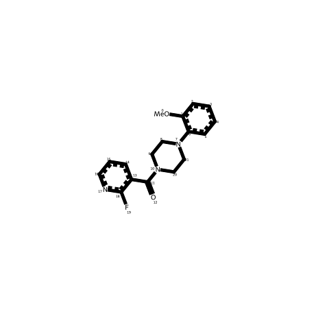 COc1ccccc1N1CCN(C(=O)c2cccnc2F)CC1